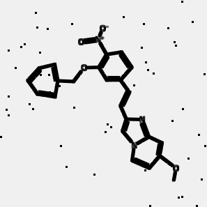 COc1ccn2cc(/C=C/c3ccc([N+](=O)[O-])c(OCc4ccccc4)c3)nc2c1